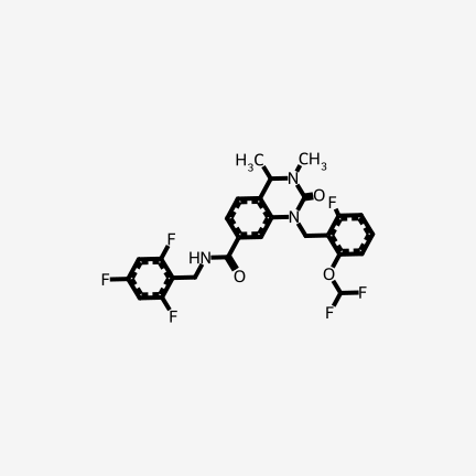 CC1c2ccc(C(=O)NCc3c(F)cc(F)cc3F)cc2N(Cc2c(F)cccc2OC(F)F)C(=O)N1C